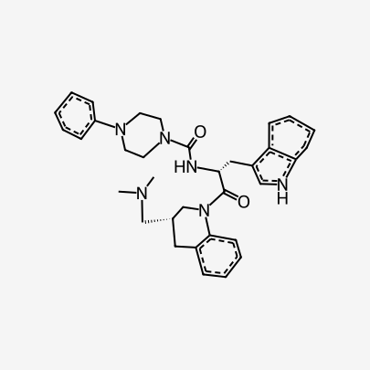 CN(C)C[C@H]1Cc2ccccc2N(C(=O)[C@@H](Cc2c[nH]c3ccccc23)NC(=O)N2CCN(c3ccccc3)CC2)C1